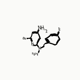 CCCN(Cc1ccc(F)cc1)c1cc(N)cc(Br)n1